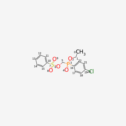 CCOP(=O)(COS(=O)(=O)c1ccccc1)c1ccc(Cl)cc1